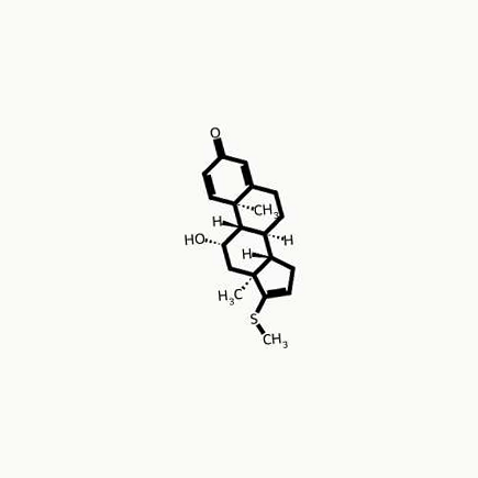 CSC1=CC[C@H]2[C@@H]3CCC4=CC(=O)C=C[C@]4(C)[C@H]3[C@@H](O)C[C@]12C